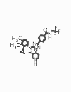 Cc1ccc(Nc2nc(-c3ccc(C(=O)NCC(F)(F)F)cc3)nn2C2CCNCC2)c(C2CC2)c1C